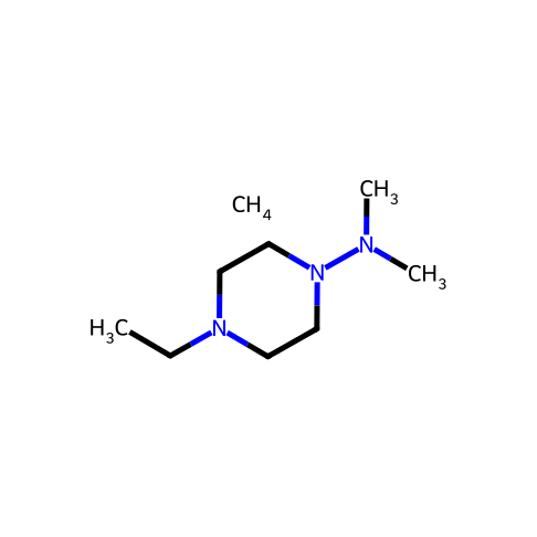 C.CCN1CCN(N(C)C)CC1